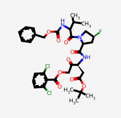 CC(C)C(NC(=O)OCc1ccccc1)C(=O)N1C[C@@H](F)CC1C(=O)N[C@@H](CC(=O)OC(C)(C)C)C(=O)COC(=O)c1c(Cl)cccc1Cl